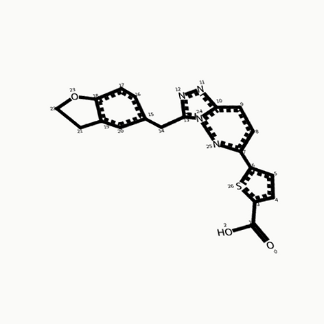 O=C(O)c1ccc(-c2ccc3nnc(Cc4ccc5c(c4)CCO5)n3n2)s1